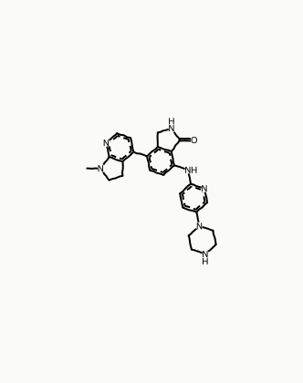 CN1CCc2c(-c3ccc(Nc4ccc(N5CCNCC5)cn4)c4c3CNC4=O)ccnc21